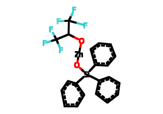 FC(F)(F)C([O][Zn][O][Si](c1ccccc1)(c1ccccc1)c1ccccc1)C(F)(F)F